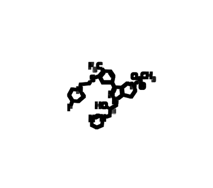 CS(=O)(=O)N1CCc2c(c(-c3ccc(C(F)(F)F)c(SCCN4CCC(F)CC4)c3)nn2C[C@@H](O)CN2C=NCCC2)C1